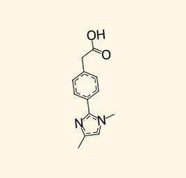 Cc1cn(C)c(-c2ccc(CC(=O)O)cc2)n1